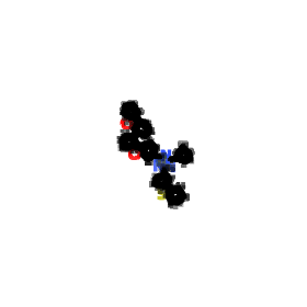 c1ccc(-c2nc(-c3ccc4c(c3)oc3cccc(-c5cccc6c5oc5ccccc56)c34)nc(-c3ccc4sc5ccccc5c4c3)n2)cc1